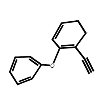 C#CC1=C(Oc2ccccc2)C=CC[CH]1